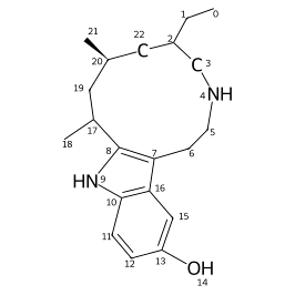 CCC1CNCCc2c([nH]c3ccc(O)cc23)C(C)C[C@@H](C)C1